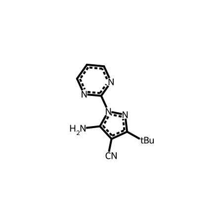 CC(C)(C)c1nn(-c2ncccn2)c(N)c1C#N